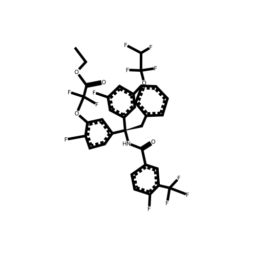 CCOC(=O)C(F)(F)Oc1cc([C@@](Cc2ccccc2)(NC(=O)c2ccc(F)c(C(F)(F)F)c2)c2cc(F)cc(OC(F)(F)C(F)F)c2)ccc1F